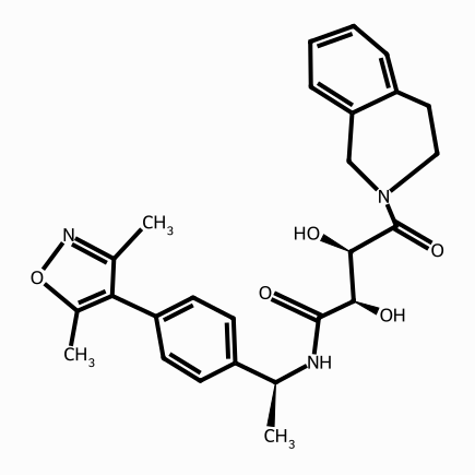 Cc1noc(C)c1-c1ccc([C@H](C)NC(=O)[C@H](O)[C@@H](O)C(=O)N2CCc3ccccc3C2)cc1